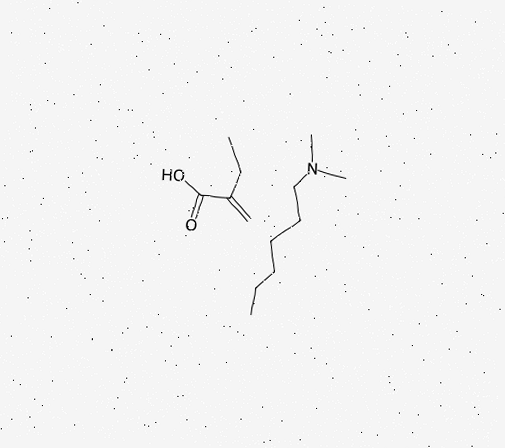 C=C(CC)C(=O)O.CCCCCCN(C)C